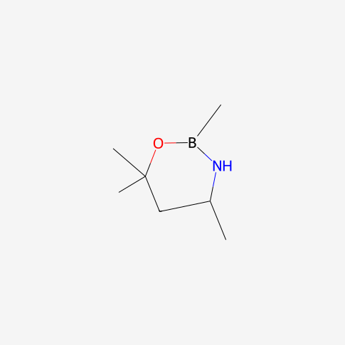 CB1NC(C)CC(C)(C)O1